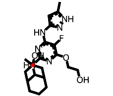 Cc1cc(Nc2nc(NC3C4CCCC3CC(C)(O)C4)nc(OCCO)c2F)n[nH]1